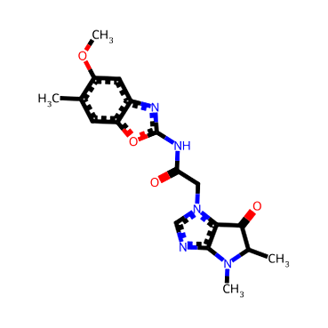 COc1cc2nc(NC(=O)Cn3cnc4c3C(=O)C(C)N4C)oc2cc1C